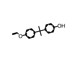 C=COc1ccc(C(C)(C)c2ccc(O)cc2)cc1